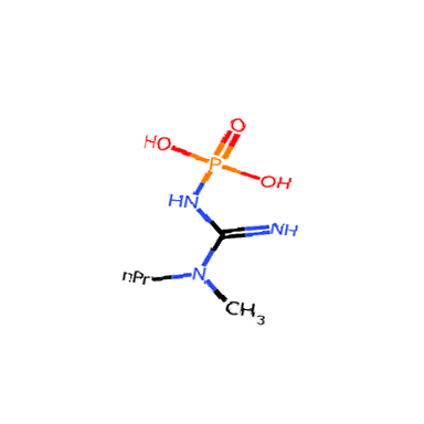 CCCN(C)C(=N)NP(=O)(O)O